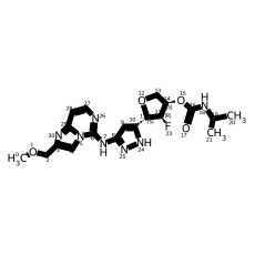 COCc1cn2c(Nc3cc([C@@H]4OC[C@H](OC(=O)NC(C)C)[C@@H]4F)[nH]n3)nccc2n1